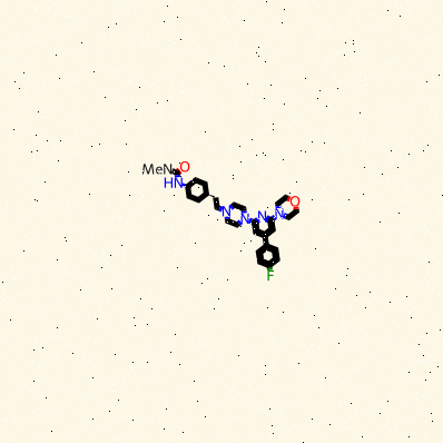 CNC(=O)N[C@H]1CC[C@H](CCN2CCN(c3cc(-c4ccc(F)cc4)cc(N4CCOCC4)n3)CC2)CC1